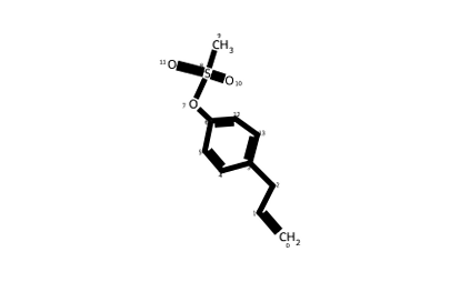 C=CCc1ccc(OS(C)(=O)=O)cc1